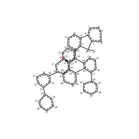 CC1(C)c2ccccc2-c2cccc(N(c3ccc(-c4cccc(-c5ccccc5)c4)cc3)c3cccc(-c4ccccc4)c3-c3ccccc3-c3ccccc3)c21